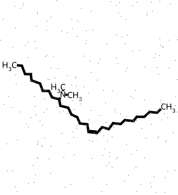 CCCCCCCCCCC/C=C\CCCCCCC(CCCCCCCCC)N(C)C